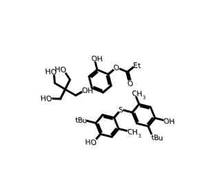 CCC(=O)Oc1ccccc1O.Cc1cc(O)c(C(C)(C)C)cc1Sc1cc(C(C)(C)C)c(O)cc1C.OCC(CO)(CO)CO